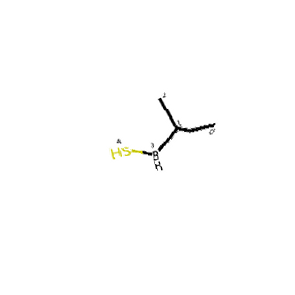 CC(C)BS